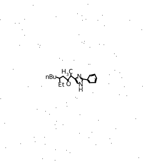 CCCCC(CC)CC(=O)C(C)c1c[nH]c(-c2ccccc2)n1